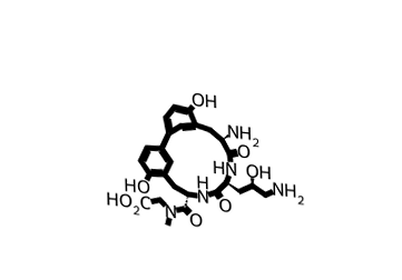 CN(CC(=O)O)C(=O)[C@@H]1Cc2cc(ccc2O)-c2ccc(O)c(c2)C[C@H](N)C(=O)N[C@@H](C[C@@H](O)CN)C(=O)N1